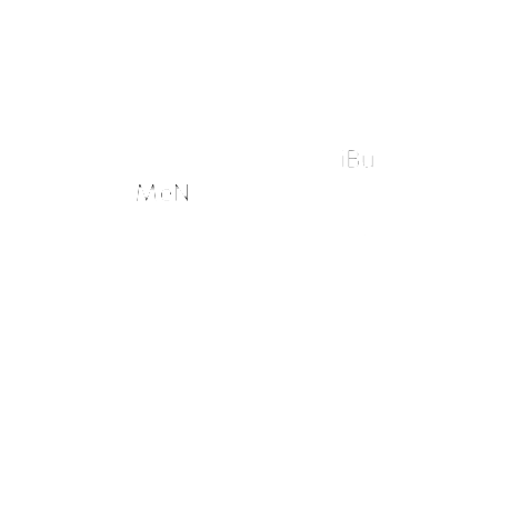 CCC(C)CC(C)C(C)CNC